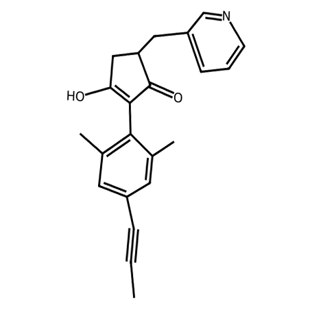 CC#Cc1cc(C)c(C2=C(O)CC(Cc3cccnc3)C2=O)c(C)c1